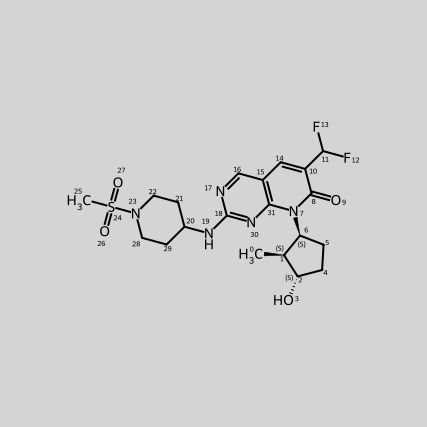 C[C@@H]1[C@@H](O)CC[C@@H]1n1c(=O)c(C(F)F)cc2cnc(NC3CCN(S(C)(=O)=O)CC3)nc21